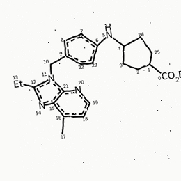 CCOC(=O)C1CCC(Nc2ccc(Cn3c(CC)nc4c(C)ccnc43)cc2)CC1